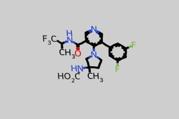 CC(NC(=O)c1cncc(-c2cc(F)cc(F)c2)c1N1CCC(C)(NC(=O)O)C1)C(F)(F)F